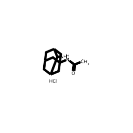 CC(=O)NC12CC3CC(C1)C(N)C(C3)C2.Cl